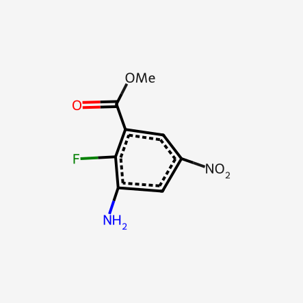 COC(=O)c1cc([N+](=O)[O-])cc(N)c1F